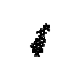 Cc1cc(-c2scnc2C)ccc1CNC(=O)[C@@H]1[C@@H](F)CCN1C(=O)C(NC(=O)C1(C#N)CC1)C(C)(C)C